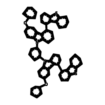 c1ccc(Oc2ccc3c(c2)c2c(-c4cccc5sc6ccccc6c45)cccc2n3-c2cccc(-n3c4ccc(Oc5ccccc5)cc4c4c(-c5cccc6sc7ccccc7c56)cccc43)c2)cc1